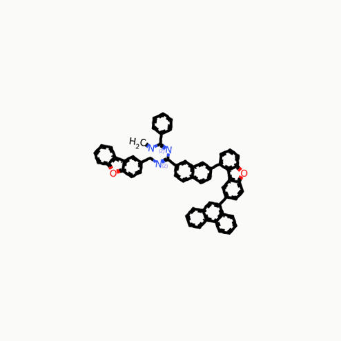 C=N/C(=N\C(=N/Cc1ccc2oc3ccccc3c2c1)c1ccc2ccc(-c3cccc4oc5ccc(-c6cc7ccccc7c7ccccc67)cc5c34)cc2c1)c1ccccc1